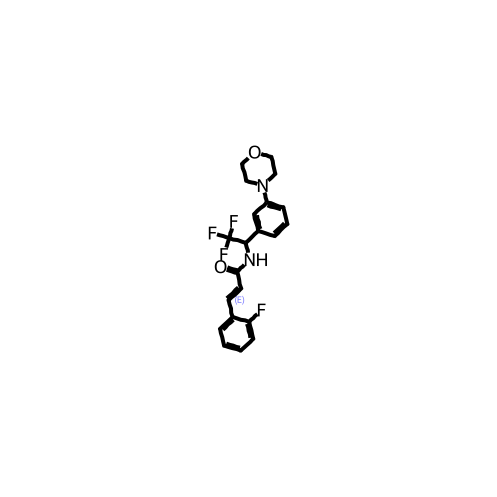 O=C(/C=C/c1ccccc1F)NC(c1cccc(N2CCOCC2)c1)C(F)(F)F